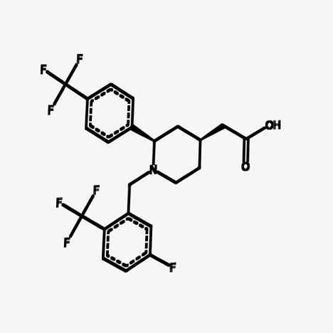 O=C(O)C[C@H]1CCN(Cc2cc(F)ccc2C(F)(F)F)[C@@H](c2ccc(C(F)(F)F)cc2)C1